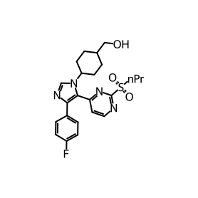 CCCS(=O)(=O)c1nccc(-c2c(-c3ccc(F)cc3)ncn2C2CCC(CO)CC2)n1